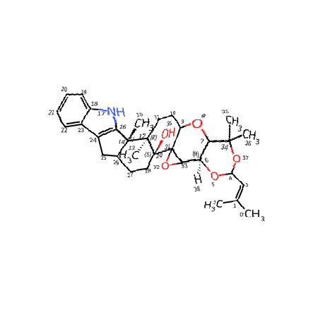 CC(C)=CC1O[C@@H]2C(OC3CC[C@]4(C)[C@@]5(C)c6[nH]c7ccccc7c6CC5CC[C@@]4(O)C34OC24)C(C)(C)O1